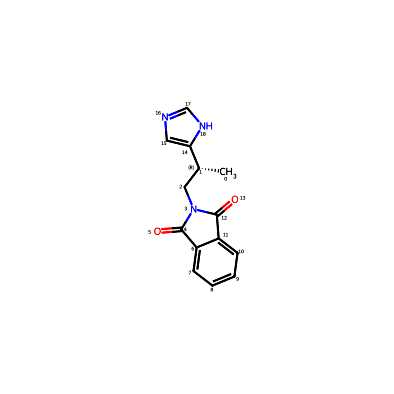 C[C@H](CN1C(=O)c2ccccc2C1=O)c1cnc[nH]1